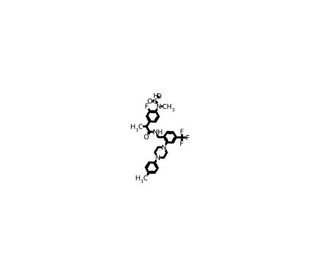 Cc1ccc(N2CCN(c3cc(C(F)(F)F)ccc3CNC(=O)C(C)c3ccc(N(C)[SH](=O)=O)c(F)c3)CC2)cc1